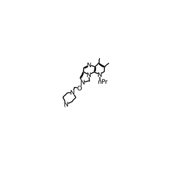 CCCN1CC(C)=C(C)C2=C1N1CN(OCN3CCN(C)CC3)C=C1C=N2